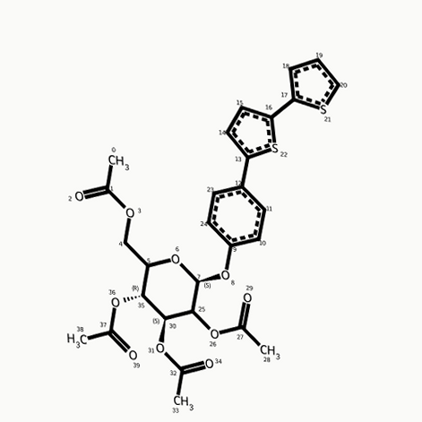 CC(=O)OCC1O[C@@H](Oc2ccc(-c3ccc(-c4cccs4)s3)cc2)C(OC(C)=O)[C@@H](OC(C)=O)[C@@H]1OC(C)=O